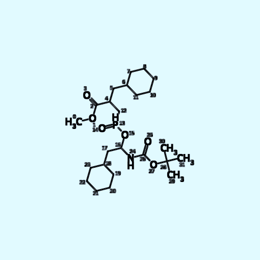 COC(=O)C(CC1CCCCC1)C[PH](=O)OC(CC1CCCCC1)NC(=O)OC(C)(C)C